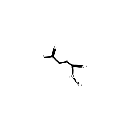 CC(=O)CCC(=O)ON